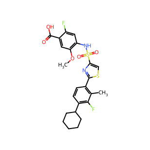 COc1cc(C(=O)O)c(F)cc1NS(=O)(=O)c1csc(-c2ccc(C3CCCCC3)c(F)c2C)n1